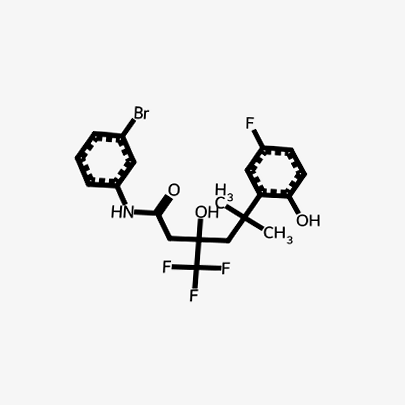 CC(C)(CC(O)(CC(=O)Nc1cccc(Br)c1)C(F)(F)F)c1cc(F)ccc1O